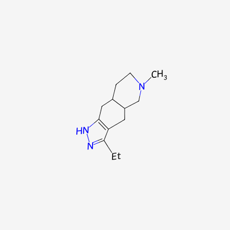 CCc1n[nH]c2c1CC1CN(C)CCC1C2